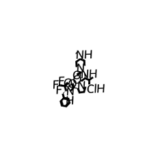 CNC1CCN(C(=O)N[C@H](C(=O)N2CCC[C@H]2C(=O)N[C@H](Cc2ccccc2)C(=O)C(F)(F)F)C(C)C)CC1.Cl